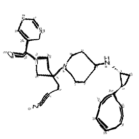 N#CCC1(N2CCC(N[C@@H]3C[C@H]3c3ccccc3)CC2)CN(C(=O)c2cscn2)C1